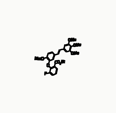 CCOC(=O)c1cccc(F)c1Oc1cc(C=Cc2cc(OC)c(OC)c(OC)c2)ccc1OC